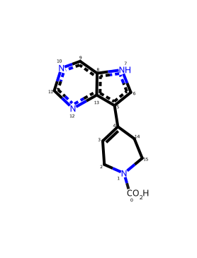 O=C(O)N1CC=C(c2c[nH]c3cncnc23)CC1